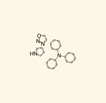 c1cc[nH]c1.c1ccc(N(c2ccccc2)c2ccccc2)cc1.c1conn1